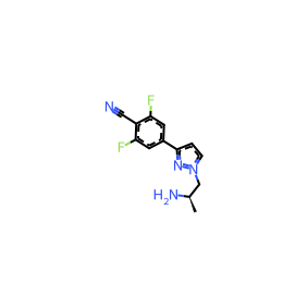 C[C@@H](N)Cn1ccc(-c2cc(F)c(C#N)c(F)c2)n1